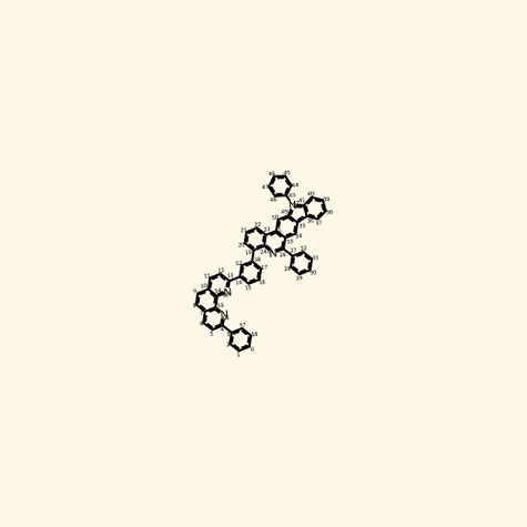 c1ccc(-c2ccc3ccc4ccc(-c5cccc(-c6cccc7c6nc(-c6ccccc6)c6cc8c9ccccc9n(-c9ccccc9)c8cc67)c5)nc4c3n2)cc1